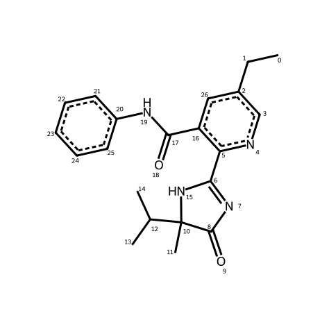 CCc1cnc(C2=NC(=O)C(C)(C(C)C)N2)c(C(=O)Nc2ccccc2)c1